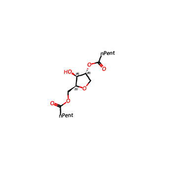 CCCCCC(=O)OC[C@@H]1OC[C@@H](OC(=O)CCCCC)[C@@H]1O